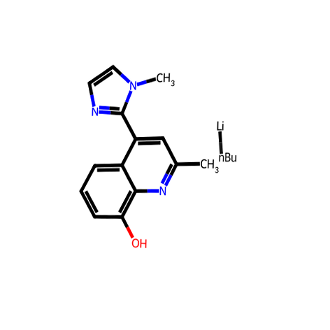 Cc1cc(-c2nccn2C)c2cccc(O)c2n1.[Li][CH2]CCC